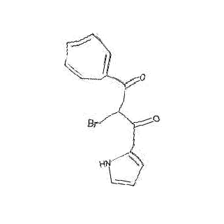 O=C(c1ccccc1)C(Br)C(=O)c1ccc[nH]1